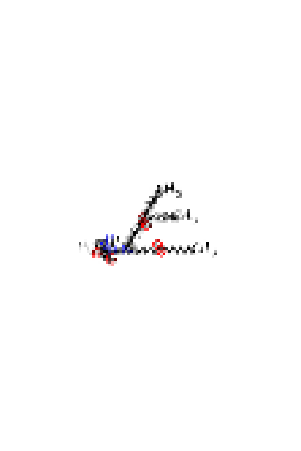 CCCCCCCCCOC(=O)CCCCCCCN(CCCCCCCC(=O)OC(CCCCCCCC)CCCCCCCC)CCCNC1=C(N(C)C)C(=O)CC1=O